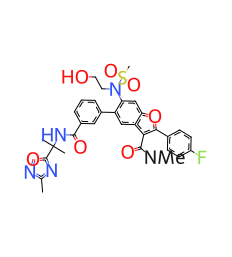 CNC(=O)c1c(-c2ccc(F)cc2)oc2cc(N(CCO)S(C)(=O)=O)c(-c3cccc(C(=O)NC(C)(C)c4nc(C)no4)c3)cc12